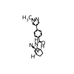 Cn1cc(-c2ccc(C(=O)N[C@@H]3C[C@@H]4CC[C@H]3N4C#N)cc2)cn1